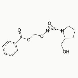 O=C(OCOn1on1N1CCCC1CO)c1ccccc1